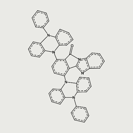 O=C1c2c(N3c4ccccc4N(c4ccccc4)c4ccccc43)ccc(N3c4ccccc4N(c4ccccc4)c4ccccc43)c2-c2nc3ccccc3n21